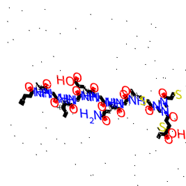 C#CCCC(=O)N[C@@H](C)C(=O)NCC(=O)N[C@H](C(=O)NCC(=O)N[C@@H](CCC(=O)O)C(=O)NCC(=O)N[C@@H](CCC(N)=O)C(=O)NCC(=O)N[C@H](C=O)CSCC(=O)N1CN(C(=O)CCSC)CN(C(=O)CCC(O)(SC)C(=O)CC)C1)[C@@H](C)CC